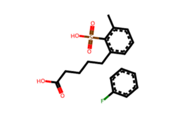 Cc1cccc(CCCCC(=O)O)c1S(=O)(=O)O.Fc1ccccc1